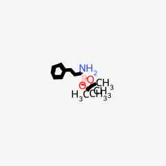 CC1(C)OB(C(N)CCc2ccccc2)OC1(C)C